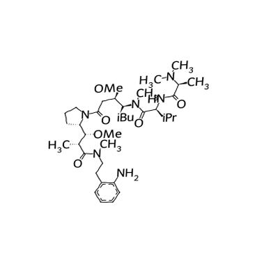 CC[C@H](C)[C@@H]([C@@H](CC(=O)N1CCC[C@H]1[C@H](OC)[C@@H](C)C(=O)N(C)CCc1ccccc1N)OC)N(C)C(=O)[C@@H](NC(=O)[C@H](C)N(C)C)C(C)C